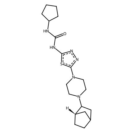 O=C(Nc1nnc(N2CCN(C3CC4CC[C@H]3C4)CC2)s1)NC1CCCC1